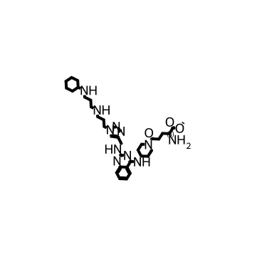 COC(=O)[C@@H](N)CCC(=O)N1CCC(Nc2nc(NCc3cn(CCCNCCCNC4CCCCC4)nn3)nc3ccccc23)CC1